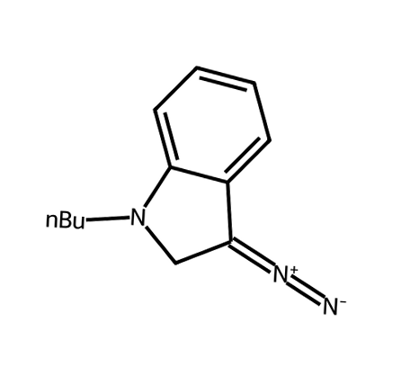 CCCCN1CC(=[N+]=[N-])c2ccccc21